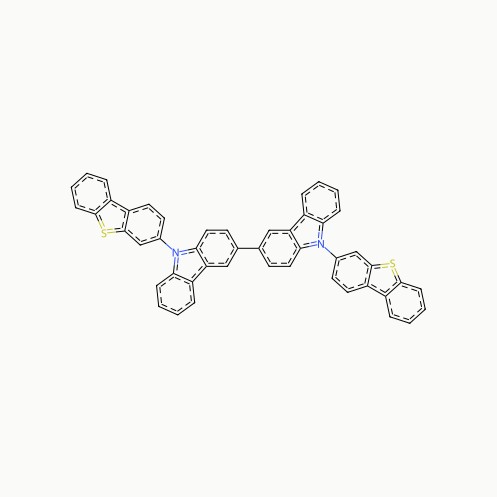 c1ccc2c(c1)sc1cc(-n3c4ccccc4c4cc(-c5ccc6c(c5)c5ccccc5n6-c5ccc6c(c5)sc5ccccc56)ccc43)ccc12